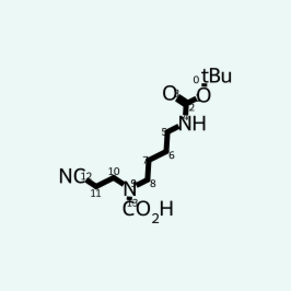 CC(C)(C)OC(=O)NCCCCN(CCC#N)C(=O)O